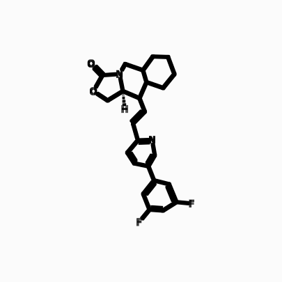 O=C1OC[C@@H]2C(/C=C/c3ccc(-c4cc(F)cc(F)c4)cn3)C3CCCCC3CN12